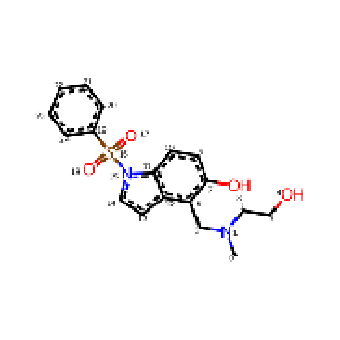 CN(CCO)Cc1c(O)ccc2c1ccn2S(=O)(=O)c1ccccc1